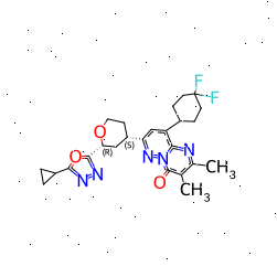 Cc1nc2c(C3CCC(F)(F)CC3)cc([C@H]3CCO[C@@H](c4nnc(C5CC5)o4)C3)nn2c(=O)c1C